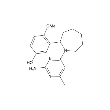 COc1ccc(O)cc1C1CCCCCN1c1cc(C)nc(N)n1